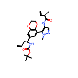 C=CC[C@H](NC(=O)OC(C)(C)C)c1cc2c(c(-c3c(NC(=O)[C@H](C)C=C)cnn3C)c1)OCCO2